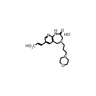 Cl.O=C(O)/C=C/c1cnc2c(c1)CN(CCCN1CCOCC1)CC(=O)N2